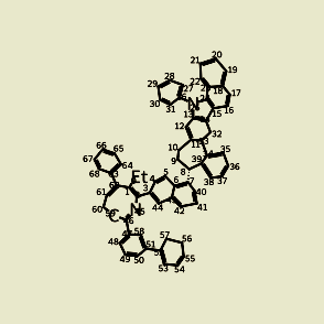 CCC1=C(c2ccc3c([C@@H]4CCC5=Cc6c(c7ccc8ccccc8c7n6-c6ccccc6)CC5c5ccccc54)cccc3c2)/N=C(/c2cccc(C3=CC=CCC3)c2)CC/C=C\1c1ccccc1